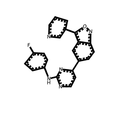 Fc1ccc(Nc2nccc(-c3ccc4noc(-c5cccnc5)c4c3)n2)cc1